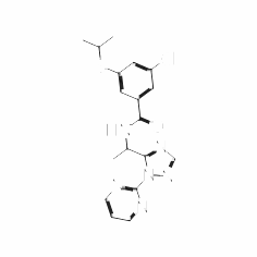 CC(C)Sc1cc(Cl)cc(C(=O)NC(C)c2ncnn2-c2ncccn2)c1